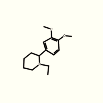 CCN1CCCCC1c1ccc(OC)c(OC)c1